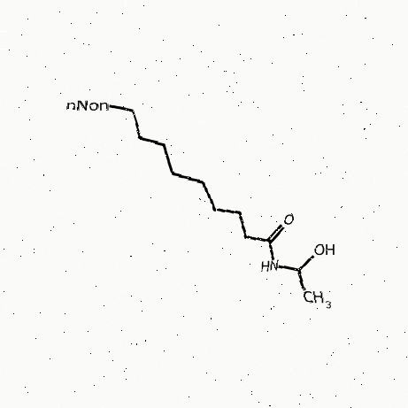 CCCCCCCCCCCCCCCCCC(=O)NC(C)O